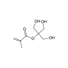 C=C(C)C(=O)OC(CO)(CO)CO